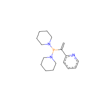 C=C(c1ccccn1)P(N1CCCCC1)N1CCCCC1